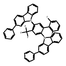 Fc1cccc(F)c1-c1cc(-n2c3ccccc3c3ccc(-c4ccccc4)cc32)c(C(F)(F)F)cc1-n1c2ccccc2c2ccc(-c3ccccc3)cc21